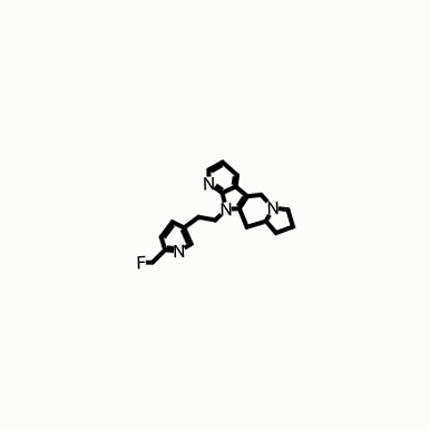 FCc1ccc(CCn2c3c(c4cccnc42)CN2CCCC2C3)cn1